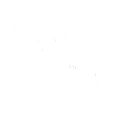 COc1ccc(CN2C(=O)C(C(CCNC(=O)OC(C)(C)C)c3ccccc3)CC2(C)C)cc1